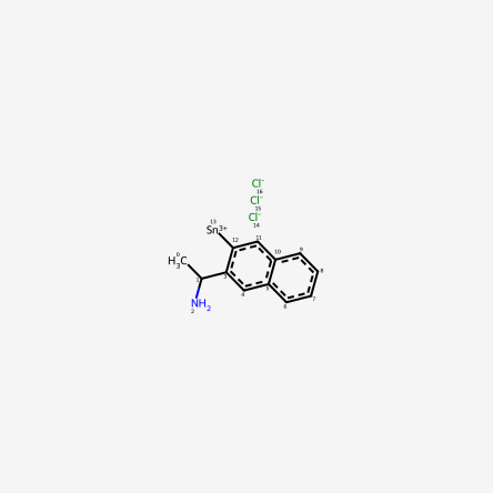 CC(N)c1cc2ccccc2c[c]1[Sn+3].[Cl-].[Cl-].[Cl-]